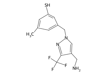 Cc1cc(S)cc(Cn2cc(CN)c(C(F)(F)F)n2)c1